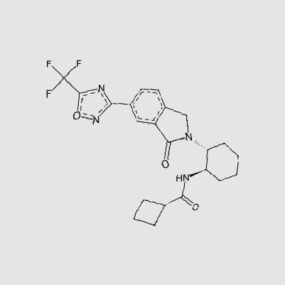 O=C(N[C@@H]1CCCC[C@H]1N1Cc2ccc(-c3noc(C(F)(F)F)n3)cc2C1=O)C1CCC1